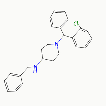 Clc1ccccc1C(c1ccccc1)N1CCC(NCc2ccccc2)CC1